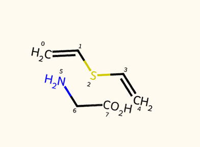 C=CSC=C.NCC(=O)O